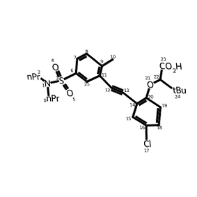 CCCN(CCC)S(=O)(=O)c1ccc(C)c(C#Cc2cc(Cl)ccc2OC(C(=O)O)C(C)(C)C)c1